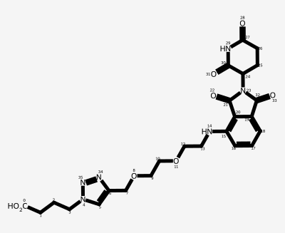 O=C(O)CCCn1cc(COCCOCCNc2cccc3c2C(=O)N(C2CCC(=O)NC2=O)C3=O)nn1